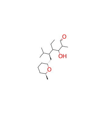 CCC(C(O)C(C)C=O)[C@@H](C[C@H]1CCC[C@H](C)O1)C(C)C